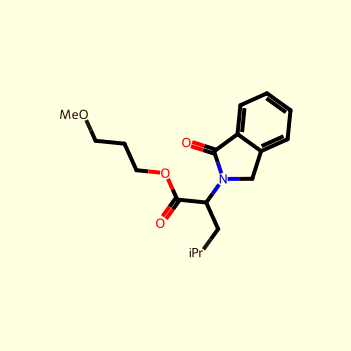 COCCCOC(=O)C(CC(C)C)N1Cc2ccccc2C1=O